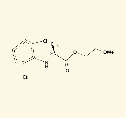 CCc1cccc(Cl)c1N[C@@H](C)C(=O)OCCOC